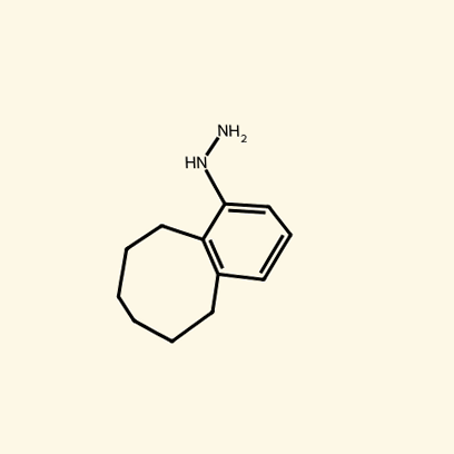 NNc1cccc2c1CCCCCC2